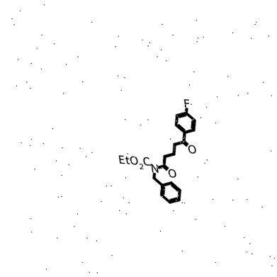 CCOC(=O)N(Cc1ccccc1)C(=O)CCCC(=O)c1ccc(F)cc1